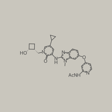 CC(=O)Nc1cc(Oc2ccc3nc(Nc4cc(C5CC5)cn(C[C@H]5CC[C@H]5O)c4=O)n(C)c3c2)ccn1